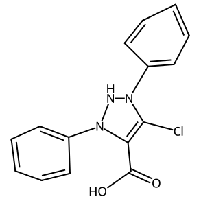 O=C(O)C1=C(Cl)N(c2ccccc2)NN1c1ccccc1